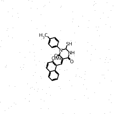 COc1ccc2ccccc2c1/C=C1/C(=O)NC(S)N(c2ccc(C)cc2)C1=O